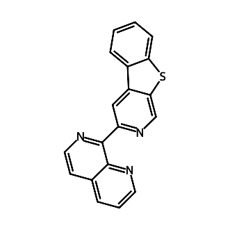 c1cnc2c(-c3cc4c(cn3)sc3ccccc34)nccc2c1